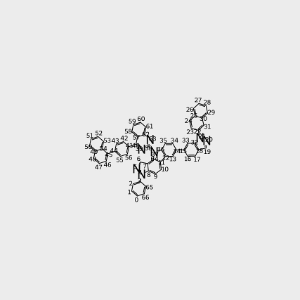 c1ccc(-n2ncc3c2ccc2c4cc(-c5ccc6cnn(-c7ccc8ccccc8c7)c6c5)ccc4n(-c4nc(-c5ccc(-c6cccc7ccccc67)cc5)c5ccccc5n4)c23)cc1